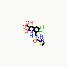 O=C(NCc1c(Cl)c(Cl)cc2cc(C(=O)O)c(=O)[nH]c12)c1nccs1